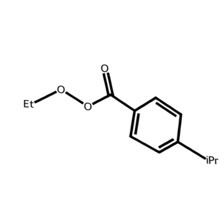 [CH2]COOC(=O)c1ccc(C(C)C)cc1